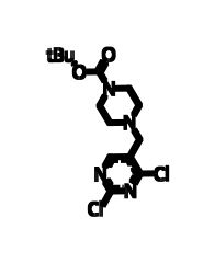 CC(C)(C)OC(=O)N1CCN(Cc2cnc(Cl)nc2Cl)CC1